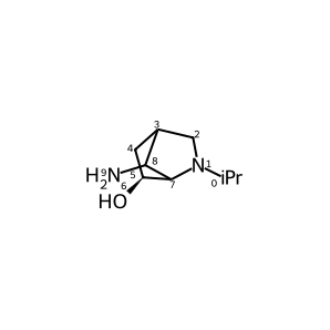 CC(C)N1CC2C[C@H](O)C1C2N